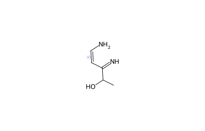 CC(O)C(=N)/C=C\N